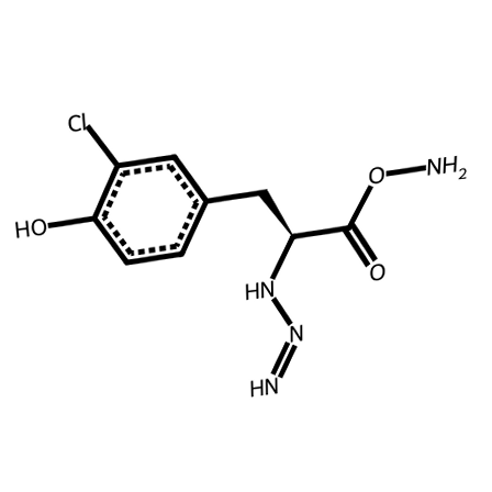 N=NN[C@@H](Cc1ccc(O)c(Cl)c1)C(=O)ON